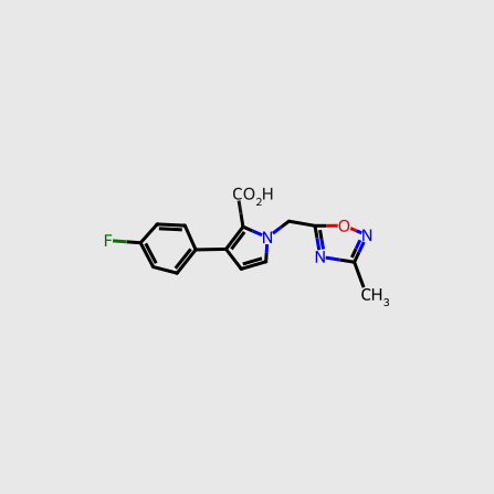 Cc1noc(Cn2ccc(-c3ccc(F)cc3)c2C(=O)O)n1